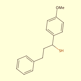 COc1ccc(C(S)CCc2ccccc2)cc1